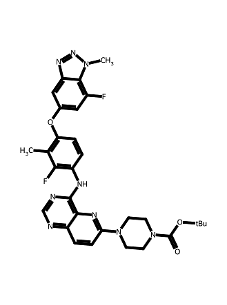 Cc1c(Oc2cc(F)c3c(c2)nnn3C)ccc(Nc2ncnc3ccc(N4CCN(C(=O)OC(C)(C)C)CC4)nc23)c1F